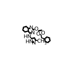 Cc1cc(Nc2nc(OC3=COC(Cc4ccccc4)O3)nc3ccccc23)[nH]n1